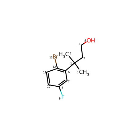 CC(C)(CCO)c1cc(F)ccc1Br